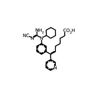 N#CN=C(N)N(c1cccc(/C(=C\CCCCC(=O)O)c2cccnc2)c1)C1CCCCC1